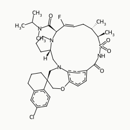 CC(C)N(C)C(=O)[C@H]1/C(F)=C/C[C@H](C)[C@@H](C)S(=O)(=O)NC(=O)c2ccc3c(c2)N(C[C@@H]2CCCN21)C[C@@]1(CCCc2cc(Cl)ccc21)CO3